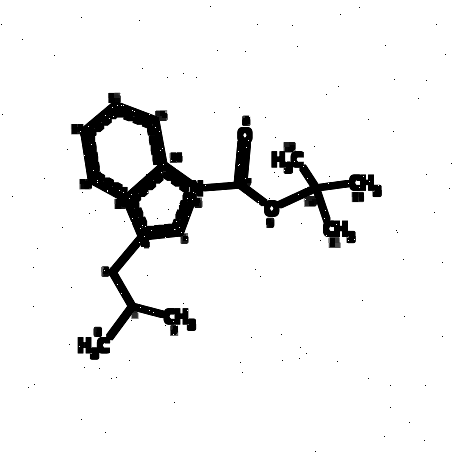 CC(C)Cc1cn(C(=O)OC(C)(C)C)c2ccccc12